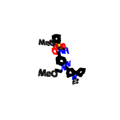 CCn1c2ccccc2c2cc(-c3nc4cc(C(=O)NS(=O)(=O)c5ccccc5OC)ccc4n3CCOC)ccc21